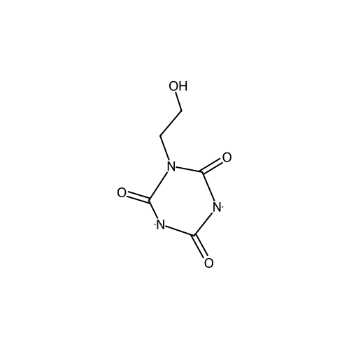 O=C1[N]C(=O)N(CCO)C(=O)[N]1